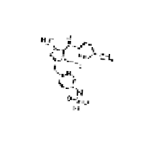 CCS(=O)(=O)Nc1ccc(Cc2cc(C)c(C(=O)c3ccc(C)cc3)n2C)nc1